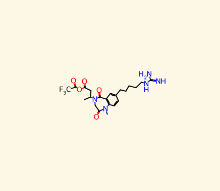 CC(CC(=O)OC(=O)C(F)(F)F)N1CC(=O)N(C)c2ccc(CCCCCNC(=N)N)cc2C1=O